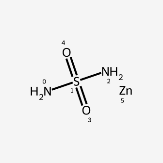 NS(N)(=O)=O.[Zn]